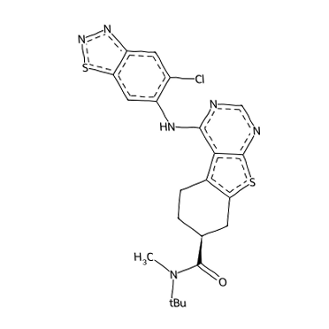 CN(C(=O)[C@H]1CCc2c(sc3ncnc(Nc4cc5snnc5cc4Cl)c23)C1)C(C)(C)C